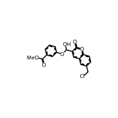 COC(=O)c1cccc(OC(O)c2cc3cc(CCl)ccc3oc2=O)c1